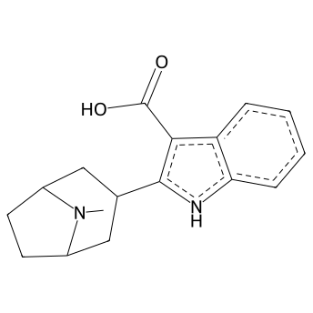 CN1C2CCC1CC(c1[nH]c3ccccc3c1C(=O)O)C2